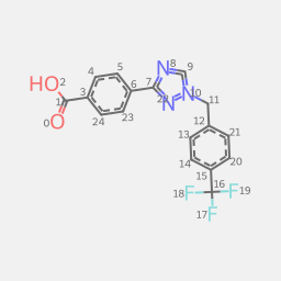 O=C(O)c1ccc(-c2ncn(Cc3ccc(C(F)(F)F)cc3)n2)cc1